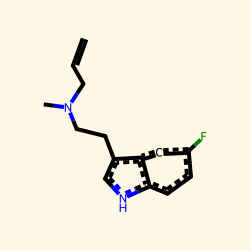 C=CCN(C)CCc1c[nH]c2ccc(F)cc12